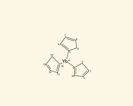 C1=CC[C]([Yb]([C]2=CC=CC2)[C]2=CC=CC2)=C1